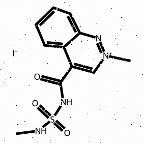 CNS(=O)(=O)NC(=O)c1c[n+](C)nc2ccccc12.[I-]